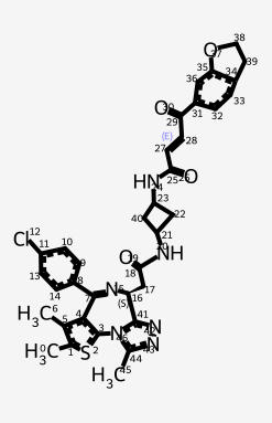 Cc1sc2c(c1C)C(c1ccc(Cl)cc1)=N[C@@H](CC(=O)NC1CC(NC(=O)/C=C/C(=O)c3ccc4c(c3)OCC4)C1)c1nnc(C)n1-2